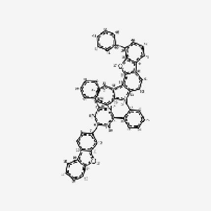 c1ccc(-c2nc(-c3ccc4c(c3)oc3ccccc34)nc(-c3ccccc3-n3c4ccccc4c4c5oc6c(-c7ccccc7)cccc6c5ccc43)n2)cc1